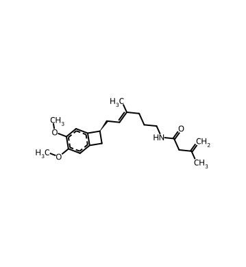 C=C(C)CC(=O)NCCC/C(C)=C/C[C@H]1Cc2cc(OC)c(OC)cc21